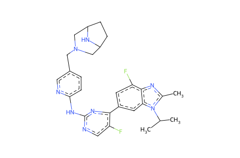 Cc1nc2c(F)cc(-c3nc(Nc4ccc(CN5CC6CCC(C5)N6)cn4)ncc3F)cc2n1C(C)C